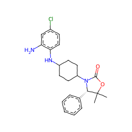 CC1(C)OC(=O)N(C2CCC(Nc3ccc(Cl)cc3N)CC2)[C@H]1c1ccccc1